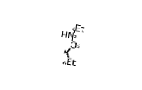 CCCONCC